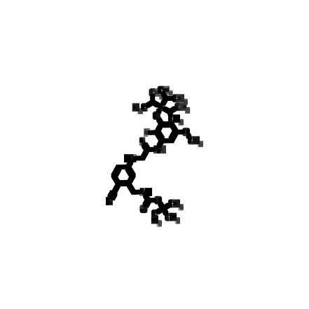 COc1cc(NC(=S)CNc2ccc(C#N)c(CNC(=O)OC(C)(C)C)c2)c(F)c(O[Si](C(C)C)(C(C)C)C(C)C)c1